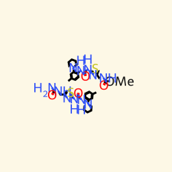 COC(=O)NCc1csc(NC(=O)Nc2ccc(C)cc2N2CCCCC2)n1.Cc1ccc(NC(=O)Nc2nc(CNC(N)=O)cs2)c(N2CCCCC2)c1